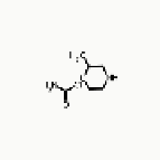 CC1CNCCO1.NC(=O)Cl